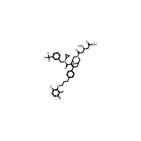 O=C(O)CC(O)CC(=O)N1CC2CC(c3ccc(CCCOc4c(F)ccc(F)c4F)cc3)=C(C(=O)N(Cc3cccc(C(F)(F)F)c3)C3CC3)C(C1)N2